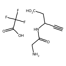 C#CC(CC(=O)O)NC(=O)CN.O=C(O)C(F)(F)F